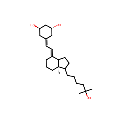 CC(C)(O)CCCCC1CCC2/C(=C/C=C3C[C@@H](O)C[C@H](O)C3)CCC[C@]12C